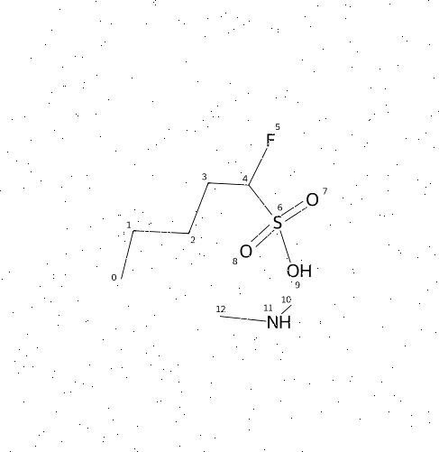 CCCCC(F)S(=O)(=O)O.CNC